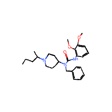 CCCC(C)N1CCC(N(Cc2ccccc2)C(=O)Nc2cccc(OC)c2OC)CC1